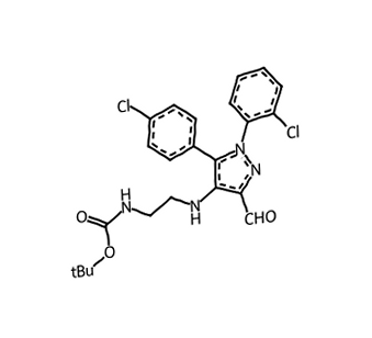 CC(C)(C)OC(=O)NCCNc1c(C=O)nn(-c2ccccc2Cl)c1-c1ccc(Cl)cc1